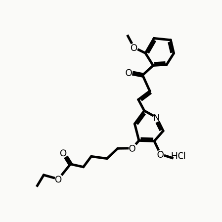 CCOC(=O)CCCCOc1cc(C=CC(=O)c2ccccc2OC)ncc1OC.Cl